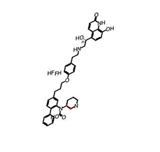 F.F.O=C(O)N(c1cc(CCCOc2ccc(CCNC[C@H](O)c3ccc(O)c4[nH]c(=O)ccc34)cc2)ccc1-c1ccccc1)C1CN2CCC1CC2